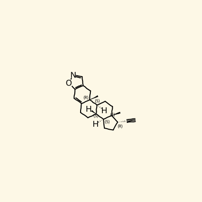 C#C[C@@H]1CC[C@H]2[C@@H]3CCC4=Cc5oncc5C[C@]4(C)[C@H]3CC[C@]12C